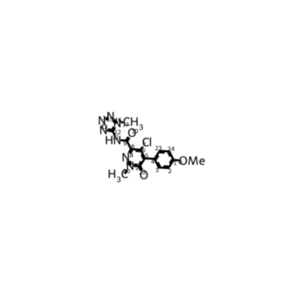 COc1ccc(-c2c(Cl)c(C(=O)Nc3nnnn3C)nn(C)c2=O)cc1